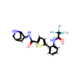 O=C(NC1CC2CNC1C2)c1ccc(-c2ccccc2NC(=O)C(F)(F)F)s1